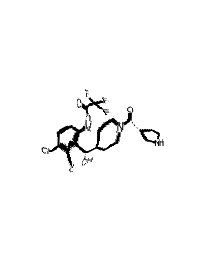 O=C([C@@H]1CCNC1)N1CCC([C@H](O)c2c(OC(=O)C(F)(F)F)ccc(Cl)c2Cl)CC1